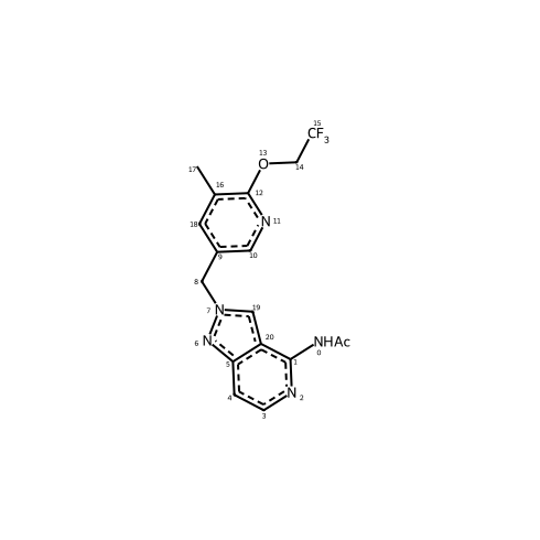 CC(=O)Nc1nccc2nn(Cc3cnc(OCC(F)(F)F)c(C)c3)cc12